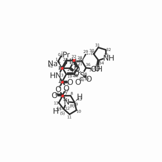 CC(C)C[C@H](NC(=O)OC1C[C@H]2CC[C@@H](C1)N2C(=O)OCc1ccccc1)C(=O)N[C@@H](C[C@@H]1CCNC1=O)C(O)S(=O)(=O)[O-].[Na+]